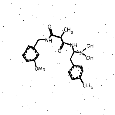 COc1cccc(CNC(=O)C(C)C(=O)NC(Cc2ccc(C)cc2)B(O)O)c1